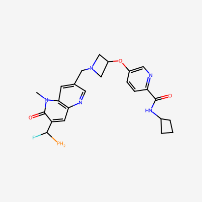 Cn1c(=O)c(C(F)P)cc2ncc(CN3CC(Oc4ccc(C(=O)NC5CCC5)nc4)C3)cc21